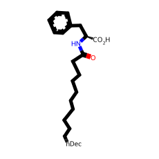 CCCCCCCCCCCCCCCCCCCC(=O)N[C@@H](Cc1ccccc1)C(=O)O